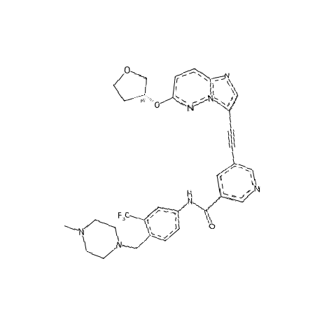 CN1CCN(Cc2ccc(NC(=O)c3cncc(C#Cc4cnc5ccc(O[C@@H]6CCOC6)nn45)c3)cc2C(F)(F)F)CC1